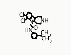 CC(C)c1cccc(NC(=O)Cn2c3c(c4ccc(Cl)c(Cl)c42)CCNCC3)c1